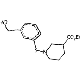 CCOC(=O)C1CCCN(Sc2cccc(CO)c2)C1